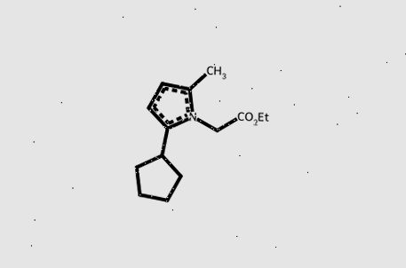 CCOC(=O)Cn1c(C)ccc1C1CCCC1